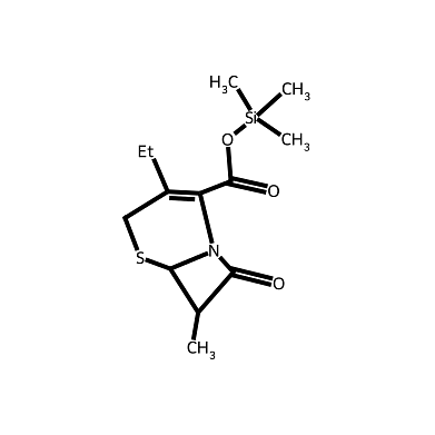 CCC1=C(C(=O)O[Si](C)(C)C)N2C(=O)C(C)C2SC1